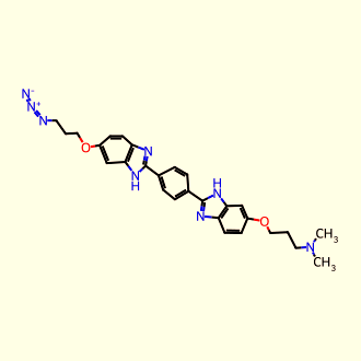 CN(C)CCCOc1ccc2nc(-c3ccc(-c4nc5ccc(OCCCN=[N+]=[N-])cc5[nH]4)cc3)[nH]c2c1